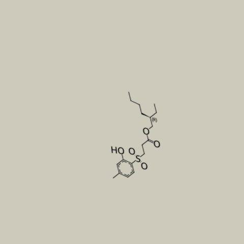 CCCC[C@@H](CC)COC(=O)CCS(=O)(=O)c1ccc(C)cc1O